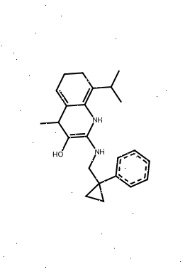 CC(C)C1=C2NC(NCC3(c4ccccc4)CC3)=C(O)C(C)C2=CCC1